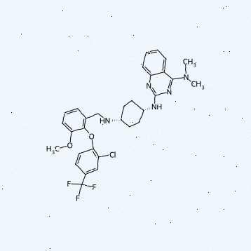 COc1cccc(CN[C@H]2CC[C@@H](Nc3nc(N(C)C)c4ccccc4n3)CC2)c1Oc1ccc(C(F)(F)F)cc1Cl